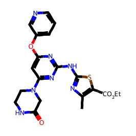 CCOC(=O)c1sc(Nc2nc(Oc3cccnc3)cc(N3CCNC(=O)C3)n2)nc1C